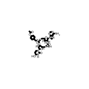 CC(=O)Oc1ccc(CSP2(=O)OC[C@H]3O[C@@H](n4cnc5c(N)ncnc54)[C@H](OP(=O)(O)OC[C@H]4O[C@@H](N5C=CC(O)NC5=O)[C@H](F)[C@@H]4O2)[C@@H]3F)cc1